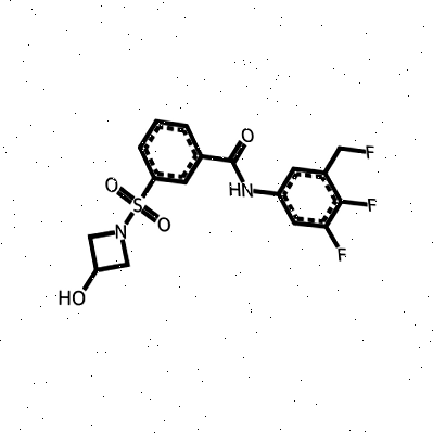 O=C(Nc1cc(F)c(F)c(CF)c1)c1cccc(S(=O)(=O)N2CC(O)C2)c1